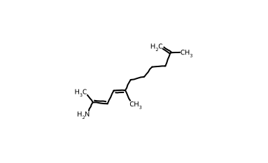 C=C(C)CCCC/C(C)=C/C=C(\C)N